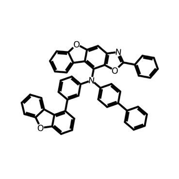 c1ccc(-c2ccc(N(c3cccc(-c4cccc5oc6ccccc6c45)c3)c3c4oc(-c5ccccc5)nc4cc4oc5ccccc5c34)cc2)cc1